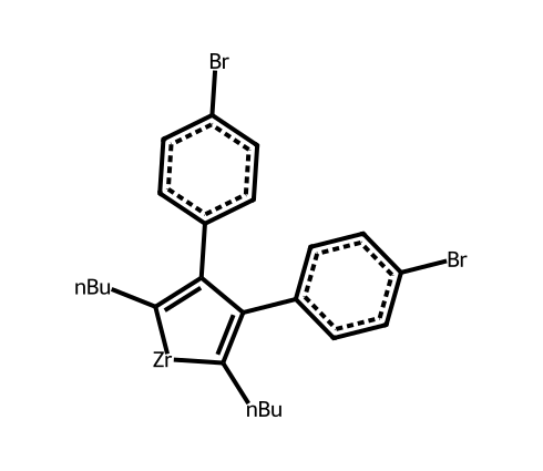 CCCC[C]1=C(c2ccc(Br)cc2)C(c2ccc(Br)cc2)=[C](CCCC)[Zr]1